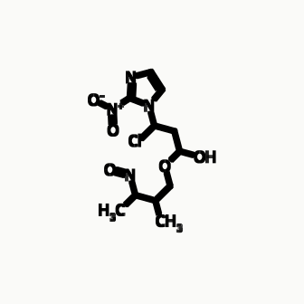 CC(COC(O)CC(Cl)n1ccnc1[N+](=O)[O-])C(C)N=O